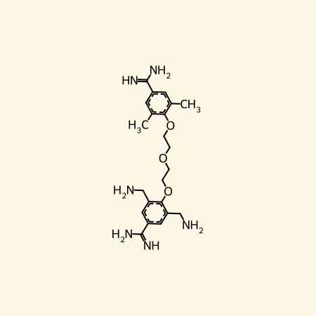 Cc1cc(C(=N)N)cc(C)c1OCCOCCOc1c(CN)cc(C(=N)N)cc1CN